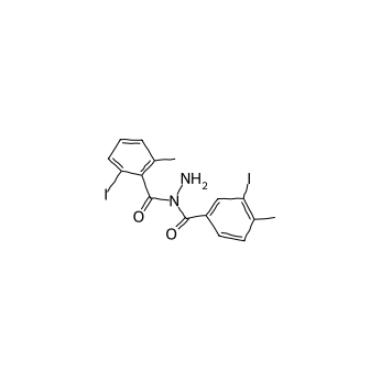 Cc1ccc(C(=O)N(N)C(=O)c2c(C)cccc2I)cc1I